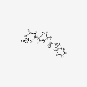 N#CN1CCC=C(c2ccc(CC(=O)Nc3ccccn3)cn2)C1